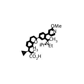 CCN(C(C)C)C(C)c1cc([C@@H]2CCc3ccc([C@H](C4CC4)[C@H](C)C(=O)O)cc3O2)ccc1-c1ccnc(OC)c1